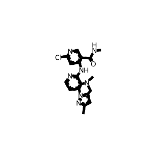 CNC(=O)c1cnc(Cl)cc1Nc1nccc2c1N(C)Cc1cc(C)nn1-2